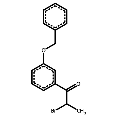 CC(Br)C(=O)c1cccc(OCc2ccccc2)c1